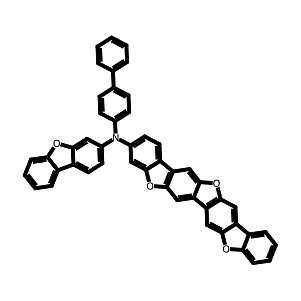 c1ccc(-c2ccc(N(c3ccc4c(c3)oc3ccccc34)c3ccc4c(c3)oc3cc5c(cc34)oc3cc4c(cc35)oc3ccccc34)cc2)cc1